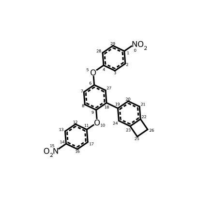 O=[N+]([O-])c1ccc(Oc2ccc(Oc3ccc([N+](=O)[O-])cc3)c(-c3ccc4c(c3)CC4)c2)cc1